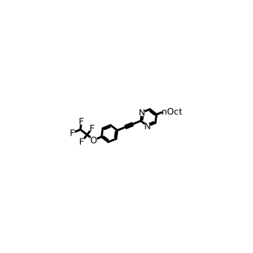 CCCCCCCCc1cnc(C#Cc2ccc(OC(F)(F)C(F)F)cc2)nc1